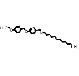 CCCCCCCCCCCCN=Cc1ccc(OCc2ccc(OCC)cc2)cc1